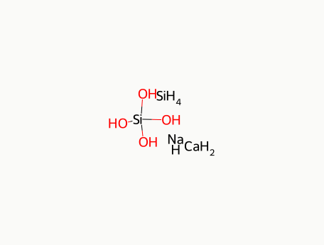 O[Si](O)(O)O.[CaH2].[NaH].[SiH4]